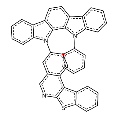 c1ccc(-n2c3ccccc3c3ccc4c5ccccc5n(-c5ccc6c(cnc7sc8ccccc8c76)c5)c4c32)cc1